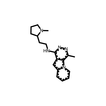 Cc1nnc(NCCC2CCCN2C)c2cc3ccccn3c12